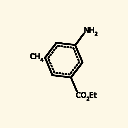 C.CCOC(=O)c1cccc(N)c1